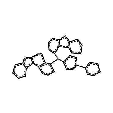 c1ccc(-c2ccc(N(c3cccc4c3ccc3oc5ccccc5c34)c3cccc4oc5ccccc5c34)cc2)cc1